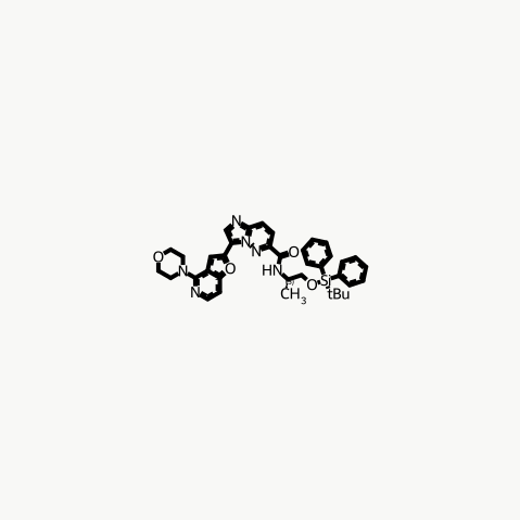 C[C@@H](CO[Si](c1ccccc1)(c1ccccc1)C(C)(C)C)NC(=O)c1ccc2ncc(-c3cc4c(N5CCOCC5)nccc4o3)n2n1